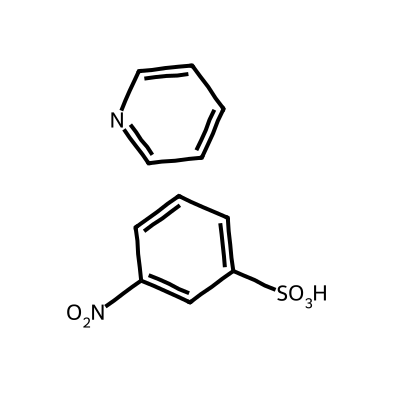 O=[N+]([O-])c1cccc(S(=O)(=O)O)c1.c1ccncc1